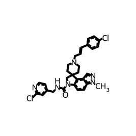 Cn1ncc2c3c(ccc21)N(C(=O)NCc1ccnc(Cl)c1)CC31CCN(CC=Cc2ccc(Cl)cc2)CC1